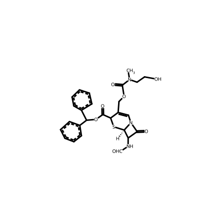 CN(CCO)C(=O)OCC1=CN2C(=O)C(NC=O)[C@H]2SC1C(=O)OC(c1ccccc1)c1ccccc1